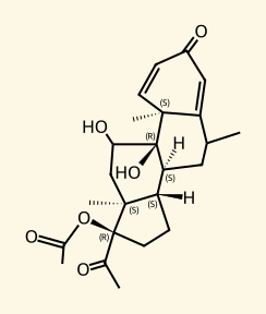 CC(=O)O[C@]1(C(C)=O)CC[C@H]2[C@@H]3CC(C)C4=CC(=O)C=C[C@]4(C)[C@@]3(O)C(O)C[C@@]21C